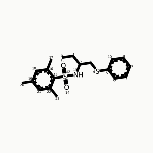 CCC(CSc1ccccc1)NS(=O)(=O)c1c(C)cc(C)cc1C